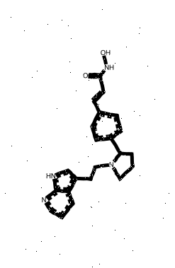 O=C(C=Cc1ccc(C2CCCN2CCc2c[nH]c3ncccc23)cc1)NO